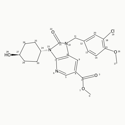 COC(=O)c1cnc2c(c1)n(Cc1ccc(OC)c(Cl)c1)c(=O)n2[C@H]1CC[C@H](O)CC1